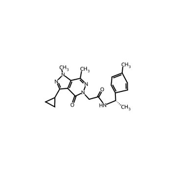 Cc1ccc([C@H](C)NC(=O)Cn2nc(C)c3c(c(C4CC4)nn3C)c2=O)cc1